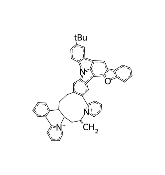 C=C1CC2C(CCc3cc4c(cc3-c3cccc[n+]31)c1c3oc5ccccc5c3cc3c5cc(C(C)(C)C)ccc5n4c31)c1ccccc1-c1cccc[n+]12